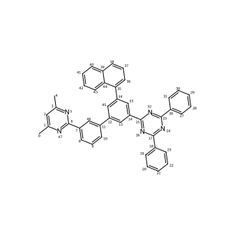 Cc1cc(C)nc(-c2cccc(-c3cc(-c4nc(-c5ccccc5)nc(-c5ccccc5)n4)cc(-c4cccc5ccccc45)c3)c2)n1